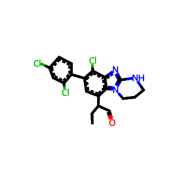 CCC(C=O)c1cc(-c2ccc(Cl)cc2Cl)c(Cl)c2nc3n(c12)CCCN3